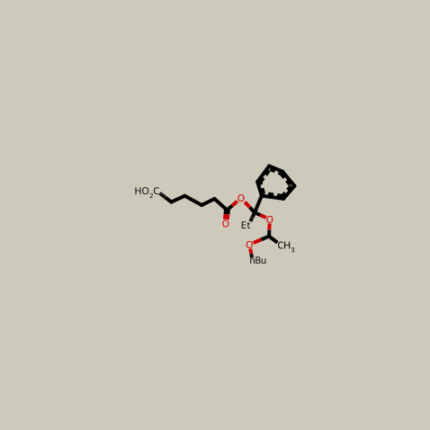 CCCCOC(C)OC(CC)(OC(=O)CCCCC(=O)O)c1ccccc1